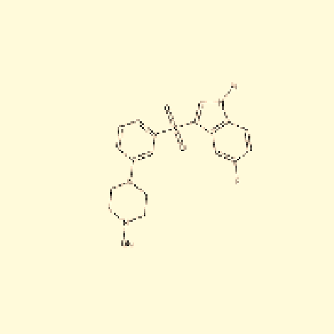 CCn1cc(S(=O)(=O)c2cccc(N3CCN(C(C)(C)C)CC3)c2)c2cc(F)ccc21